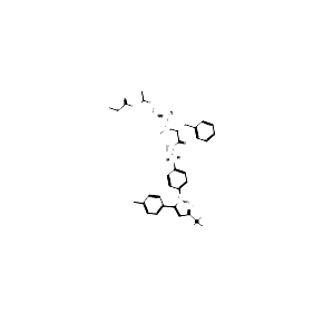 CCC(=O)OC(C)O/N=[N+](\[O-])N(C)[C@@H](Cc1ccccc1)C(=O)NS(=O)(=O)c1ccc(-n2nc(C(F)(F)F)cc2-c2ccc(C)cc2)cc1